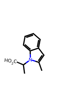 Cc1cc2ccccc2n1C(C)C(=O)O